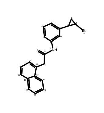 CCC1CC1c1cccc(NC(=O)Cc2cccc3ccccc23)c1